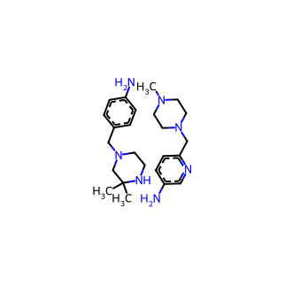 CC1(C)CN(Cc2ccc(N)cc2)CCN1.CN1CCN(Cc2ccc(N)cn2)CC1